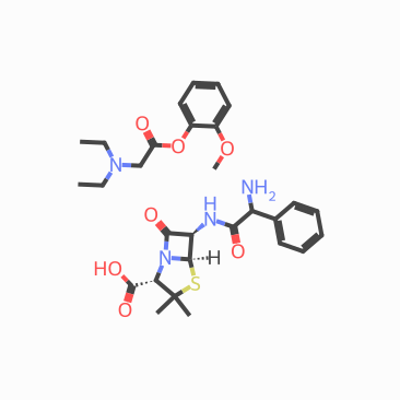 CC1(C)S[C@@H]2[C@H](NC(=O)C(N)c3ccccc3)C(=O)N2[C@H]1C(=O)O.CCN(CC)CC(=O)Oc1ccccc1OC